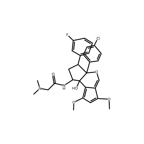 COC1=CC(OC)=C2C1=COC1(c3ccc(Cl)cc3)C(c3cccc(F)c3)CC(NC(=O)CN(C)C)C21O